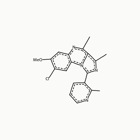 COc1cc2nc(C)c3c(C)nc(-c4cccnc4C)n3c2cc1Cl